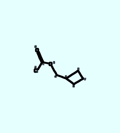 O=C(Cl)OCC1CCC1